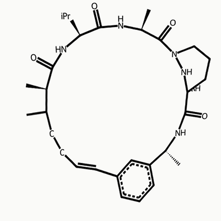 CC(C)[C@@H]1NC(=O)[C@H](C)C(C)CC/C=C/c2cccc(c2)[C@@H](C)NC(=O)[C@@H]2CCCN(N2)C(=O)[C@H](C)NC1=O